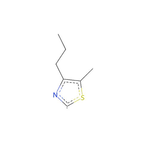 CCCc1n[c]sc1C